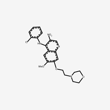 COc1cc2c(Nc3ccccc3Cl)c([N+](=O)[O-])cnc2cc1OCCN1CCOCC1